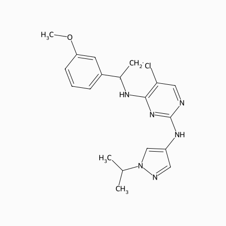 [CH2][C](Nc1nc(Nc2cnn(C(C)C)c2)ncc1Cl)c1cccc(OC)c1